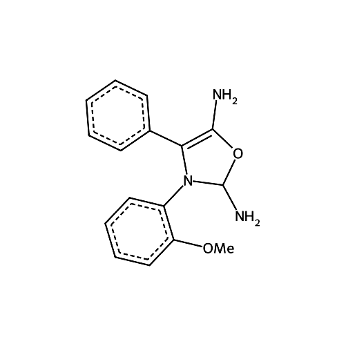 COc1ccccc1N1C(c2ccccc2)=C(N)OC1N